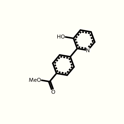 COC(=O)c1ccc(-c2ncccc2O)cc1